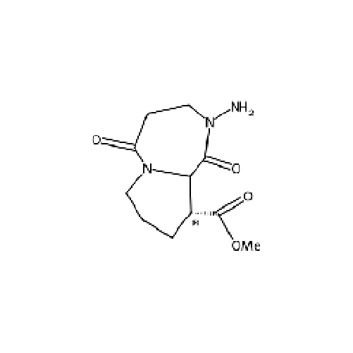 COC(=O)[C@@H]1CCCN2C(=O)CCN(N)C(=O)C12